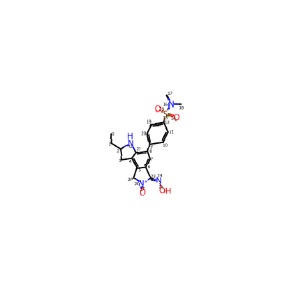 CCC1Cc2c3c(cc(-c4ccc(S(=O)(=O)N(C)C)cc4)c2N1)C(=NO)[N+](=O)C3